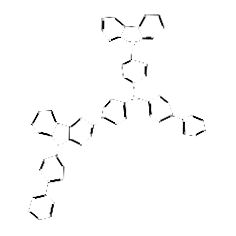 c1ccc(-c2ccc(N(c3ccc(-c4ccc5c(c4)c4ccccc4n5-c4ccc(-c5ccccc5)cc4)cc3)c3ccc(-n4c5ccccc5c5ccccc54)cc3)cc2)cc1